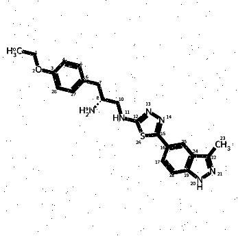 CCOc1ccc(C[C@@H](N)CNc2nnc(-c3ccc4[nH]nc(C)c4c3)s2)cc1